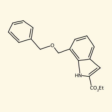 CCOC(=O)c1cc2cccc(COCc3ccccc3)c2[nH]1